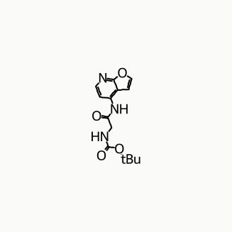 CC(C)(C)OC(=O)NCC(=O)Nc1ccnc2occc12